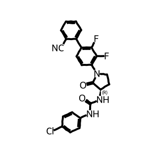 N#Cc1ccccc1-c1ccc(N2CC[C@@H](NC(=O)Nc3ccc(Cl)cc3)C2=O)c(F)c1F